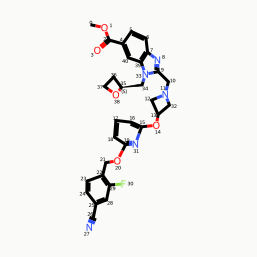 COC(=O)c1ccc2nc(CN3CC(Oc4cccc(OCc5ccc(C#N)cc5F)n4)C3)n(C[C@@H]3CCO3)c2c1